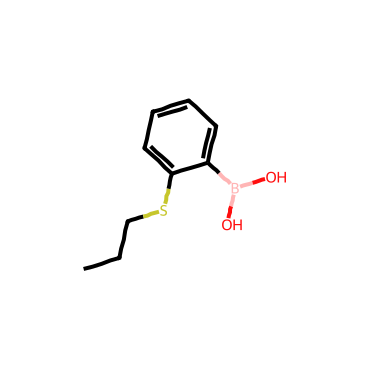 CCCSc1ccccc1B(O)O